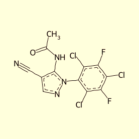 CC(=O)Nc1c(C#N)cnn1-c1c(Cl)c(F)c(Cl)c(F)c1Cl